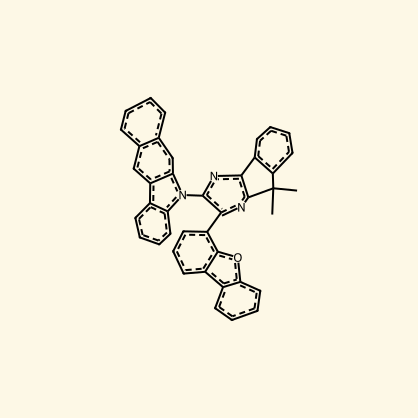 CC1(C)c2ccccc2-c2nc(-n3c4ccccc4c4cc5ccccc5cc43)c(-c3cccc4c3oc3ccccc34)nc21